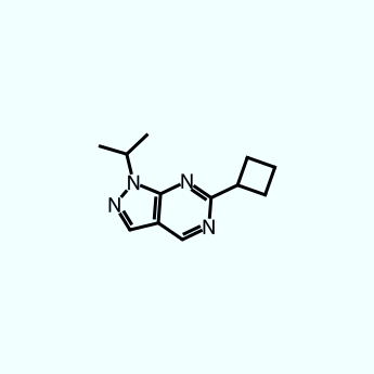 CC(C)n1ncc2cnc(C3CCC3)nc21